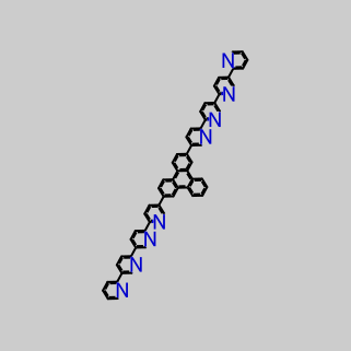 c1ccc(-c2ccc(-c3ccc(-c4ccc(-c5ccc6c7ccc(-c8ccc(-c9ccc(-c%10ccc(-c%11ccccn%11)cn%10)cn9)nc8)cc7c7ccccc7c6c5)cn4)nc3)nc2)nc1